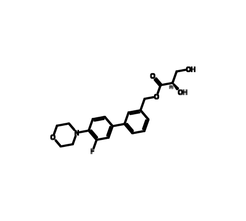 O=C(OCc1cccc(-c2ccc(N3CCOCC3)c(F)c2)c1)[C@H](O)CO